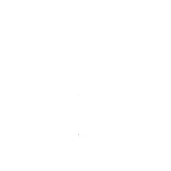 COC(=O)C(C(=O)c1cccc2c(Cl)cccc12)C1CC1